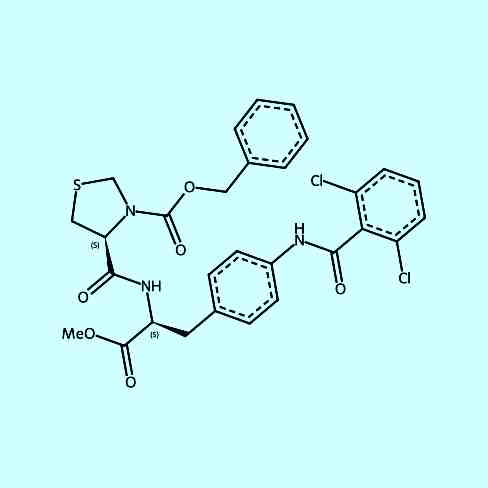 COC(=O)[C@H](Cc1ccc(NC(=O)c2c(Cl)cccc2Cl)cc1)NC(=O)[C@H]1CSCN1C(=O)OCc1ccccc1